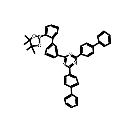 CC1(C)OB(c2ccccc2-c2cccc(-c3nc(-c4ccc(-c5ccccc5)cc4)nc(-c4ccc(-c5ccccc5)cc4)n3)c2)OC1(C)C